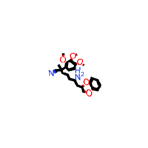 COc1ccc(C(C)(C#N)CCCC(N)CC2COc3ccccc3O2)c(OC)c1OC